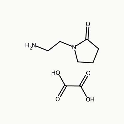 NCCN1CCCC1=O.O=C(O)C(=O)O